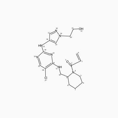 C=CC(=O)N1CCCCC1CNc1nc(Nc2cnn(CCO)c2)ncc1Cl